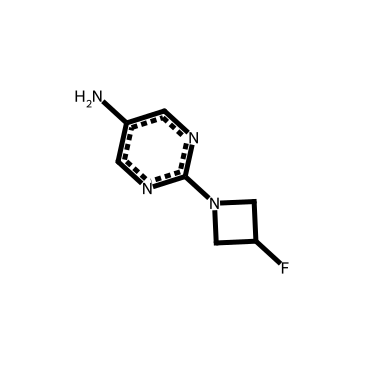 Nc1cnc(N2CC(F)C2)nc1